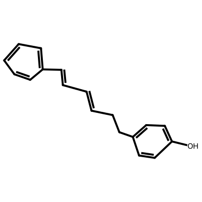 Oc1ccc(CC/C=C/C=C/c2ccccc2)cc1